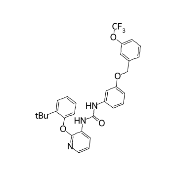 CC(C)(C)c1ccccc1Oc1ncccc1NC(=O)Nc1cccc(OCc2cccc(OC(F)(F)F)c2)c1